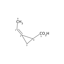 CC=C1CC1C(=O)O